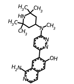 CN(c1ccc(-c2cc3c(N)nccc3cc2O)nn1)C1CC(C)(C)NC(C)(C)C1